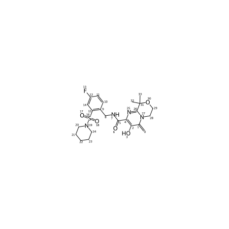 C=C1C(O)=C(C(=O)NCc2ccc(F)cc2S(=O)(=O)N2CCCCC2)N=C2N1CCOC2(C)C